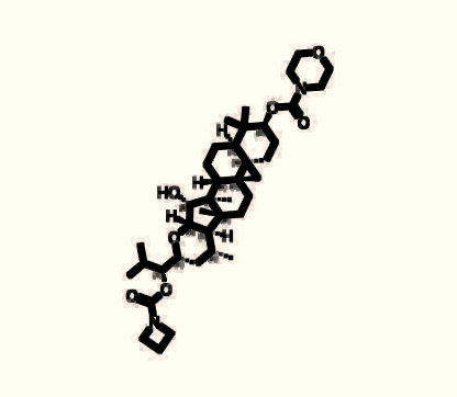 CC(C)[C@@H](OC(=O)N1CCC1)[C@H]1C[C@@H](C)[C@H]2[C@H](O1)[C@H](O)[C@@]1(C)[C@@H]3CC[C@H]4C(C)(C)[C@@H](OC(=O)N5CCOCC5)CC[C@@]45C[C@@]35CC[C@]21C